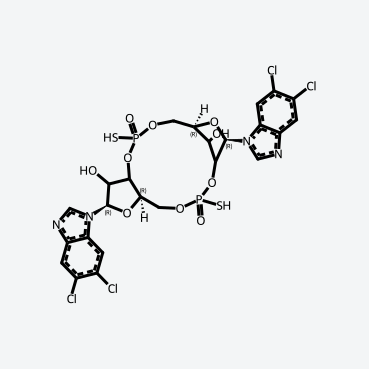 O=P1(S)OC[C@H]2O[C@@H](n3cnc4cc(Cl)c(Cl)cc43)C(O)C2OP(=O)(S)OC[C@H]2O[C@@H](n3cnc4cc(Cl)c(Cl)cc43)C(O1)C2O